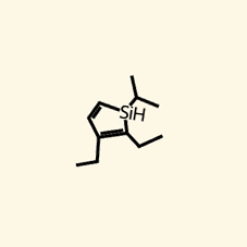 CCC1=C(CC)[SiH](C(C)C)C=C1